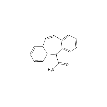 NC(=O)N1c2ccccc2C=CC2C=CC=CC21